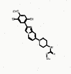 COc1cc(O)c(-c2cn3ccc(N4CCC(NC(=O)OC(C)(C)C)CC4)cc3n2)cc1Cl